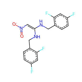 O=[N+]([O-])C=C(NCc1ccc(F)cc1F)NCc1ccc(F)cc1F